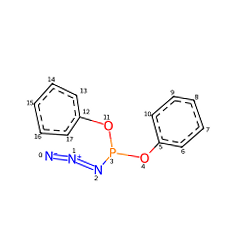 [N-]=[N+]=NP(Oc1ccccc1)Oc1ccccc1